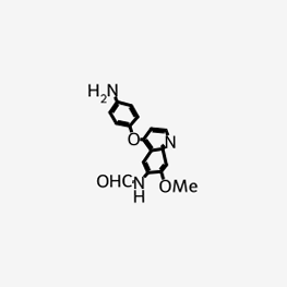 COc1cc2nccc(Oc3ccc(N)cc3)c2cc1NC=O